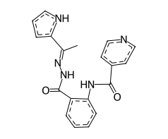 CC(=NNC(=O)c1ccccc1NC(=O)c1ccncc1)c1ccc[nH]1